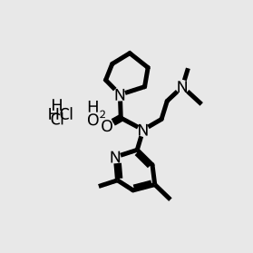 Cc1cc(C)nc(N(CCN(C)C)C(=O)N2CCCCC2)c1.Cl.Cl.O